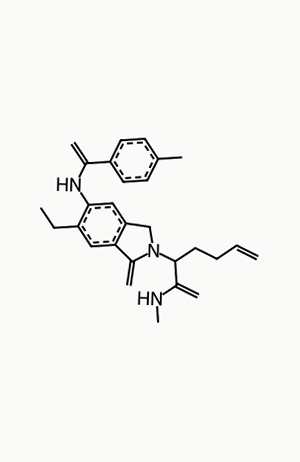 C=CCCC(C(=C)NC)N1Cc2cc(NC(=C)c3ccc(C)cc3)c(CC)cc2C1=C